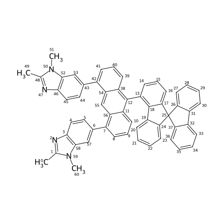 Cc1nc2ccc(-c3cccc4c(-c5cccc6c5-c5ccccc5C65c6ccccc6-c6ccccc65)c5cccc(-c6ccc7nc(C)n(C)c7c6)c5cc34)cc2n1C